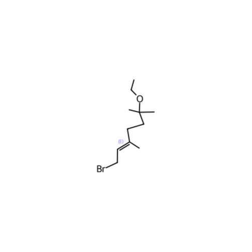 CCOC(C)(C)CC/C(C)=C/CBr